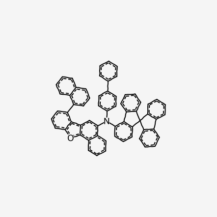 c1ccc(-c2ccc(N(c3cccc4c3-c3ccccc3C43c4ccccc4-c4ccccc43)c3cc4c(oc5cccc(-c6cccc7ccccc67)c54)c4ccccc34)cc2)cc1